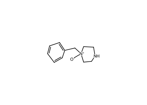 [O-][N+]1(Cc2ccccc2)CCNCC1